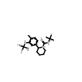 Cc1ccc(C2CCCCN2C(=O)OC(C)(C)C)cc1OC(F)(F)Br